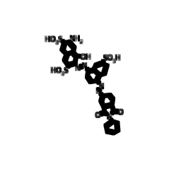 Nc1cc2c(O)c(/N=N/c3ccc(/N=N/c4ccc5c(c4)C(=O)N(c4ccccc4)C5=O)c4ccc(S(=O)(=O)O)cc34)c(S(=O)(=O)O)cc2cc1S(=O)(=O)O